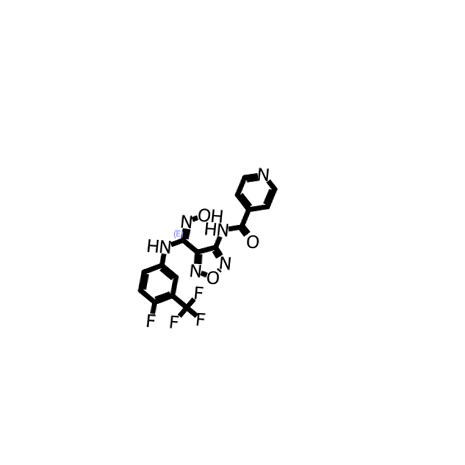 O=C(Nc1nonc1/C(=N\O)Nc1ccc(F)c(C(F)(F)F)c1)c1ccncc1